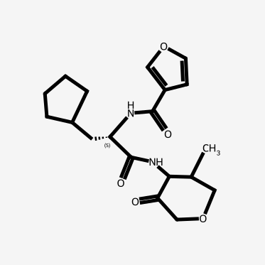 CC1COCC(=O)C1NC(=O)[C@H](CC1CCCC1)NC(=O)c1ccoc1